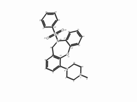 CN1CCN(c2cccc3c2Oc2ccccc2N(S(=O)(=O)c2ccccc2)C3)CC1